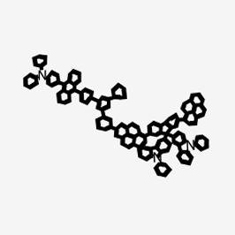 c1ccc(-c2cc(-c3ccc(-c4c5ccccc5c(-c5ccc(N(c6ccccc6)c6ccccc6)cc5)c5ccccc45)cc3)cc(-c3cccc(-c4cc5ccc6ccc(-c7ccc8c(c7)C(c7ccc9c(c7)c7ccccc7n9-c7ccccc7)(c7ccc9c(c7)c7ccccc7n9-c7ccccc7)c7cc(-c9ccc%10ccc%11cccc%12ccc9c%10c%11%12)ccc7-8)c7ccc(c4)c5c67)c3)c2)cc1